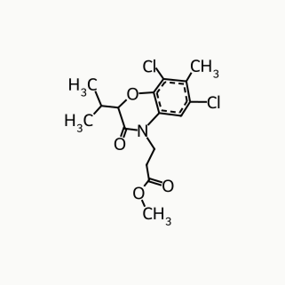 COC(=O)CCN1C(=O)C(C(C)C)Oc2c1cc(Cl)c(C)c2Cl